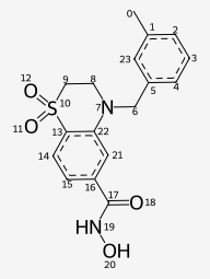 Cc1cccc(CN2CCS(=O)(=O)c3ccc(C(=O)NO)cc32)c1